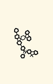 CC1(C)c2ccccc2-c2ccc(N(c3ccccc3)c3ccc(-c4ccc5c(c4)C4(CCC6(CC4)c4ccccc4-c4ccccc46)c4cc(-c6ccccc6)ccc4-5)cc3)cc21